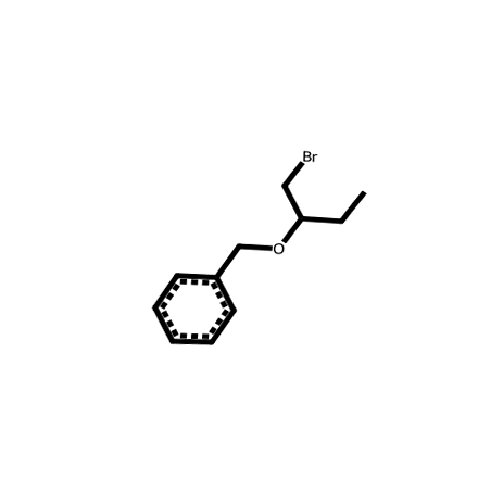 CCC(CBr)OCc1ccccc1